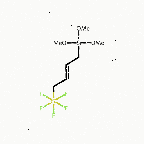 CO[Si](CC=CCS(F)(F)(F)(F)F)(OC)OC